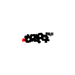 CC1=C2C3CC(C)(C)C[C@@H](C(=O)O)C3CCC2(C)C2(C)CCC3C(C)(C)C(=O)CCC3(C)C2C1